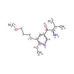 COCCCOc1cc(C(=O)[C@H](N)C(C)C)cnc1OC